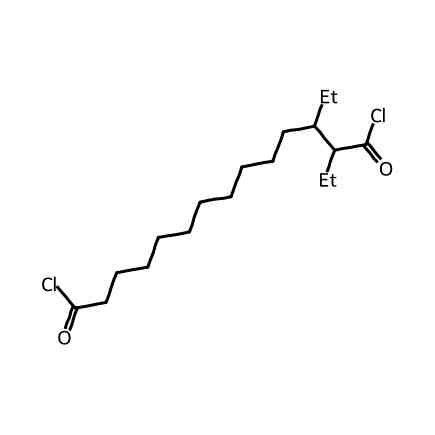 CCC(CCCCCCCCCCC(=O)Cl)C(CC)C(=O)Cl